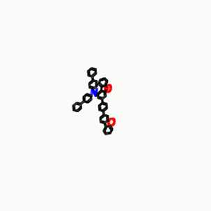 c1ccc(-c2ccc(N(c3ccc(-c4ccccc4)cc3)c3cc(-c4ccc(-c5ccc6c(c5)oc5ccccc56)cc4)cc4oc5ccccc5c34)cc2)cc1